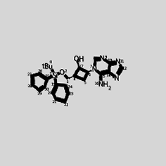 CC(C)(C)[Si](OC[C@H]1C[C@@H](n2cnc3ncnc-3c2N)[C@@H]1O)(c1ccccc1)c1ccccc1